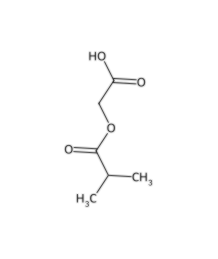 CC(C)C(=O)OCC(=O)O